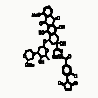 COc1cccc2c1C(=O)c1c(O)c3c(c(O)c1C2=O)C[C@@](O)(/C(CO)=N/NC(=O)c1ccc(N2C(=O)C=CC2=O)c(Cl)c1)C[C@@H]3O[C@H]1C[C@H](N2CCO[C@@H](OC)C2)[C@H](O)[C@H](C)O1